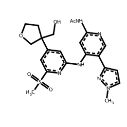 CC(=O)Nc1cc(Nc2cc(C3(CO)CCOC3)cc(S(C)(=O)=O)n2)c(-c2ccn(C)n2)cn1